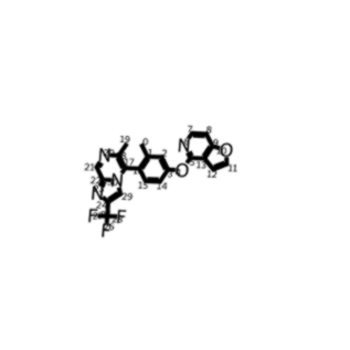 Cc1cc(Oc2nccc3occc23)ccc1-c1c(C)ncc2nc(C(F)(F)F)cn12